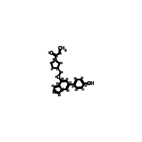 C=CC(=O)N1CC[C@H](COc2cc(-c3ccc(O)cc3)cn3cncc23)C1